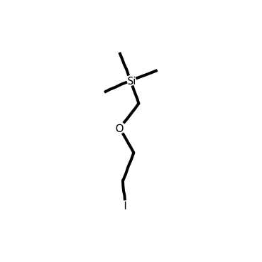 C[Si](C)(C)COCCI